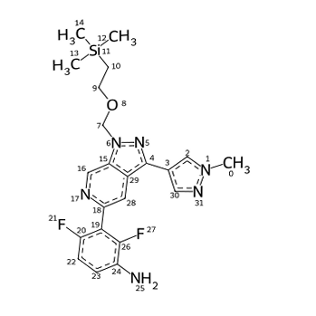 Cn1cc(-c2nn(COCC[Si](C)(C)C)c3cnc(-c4c(F)ccc(N)c4F)cc23)cn1